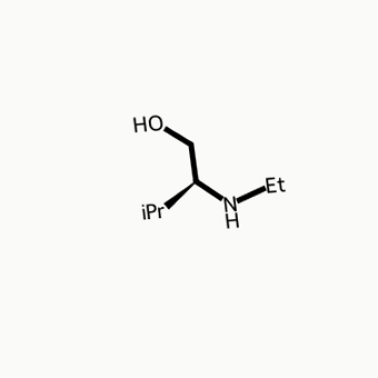 CCN[C@H](CO)C(C)C